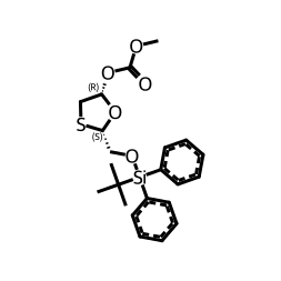 COC(=O)O[C@H]1CS[C@@H](CO[Si](c2ccccc2)(c2ccccc2)C(C)(C)C)O1